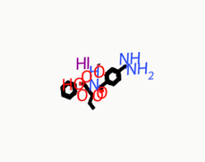 CCC(=O)C(NC(=O)c1ccc(C(=N)N)cc1OC)(Oc1ccccc1)C(=O)O.I